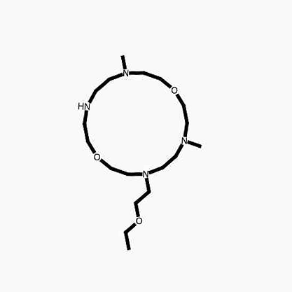 CCOCCN1CCOCCNCCN(C)CCOCCN(C)CC1